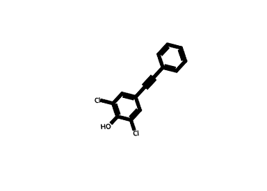 Oc1c(Cl)cc(C#Cc2ccccc2)cc1Cl